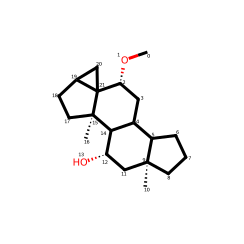 CO[C@@H]1CC2C3CCC[C@@]3(C)C[C@H](O)C2[C@@]2(C)CCC3CC312